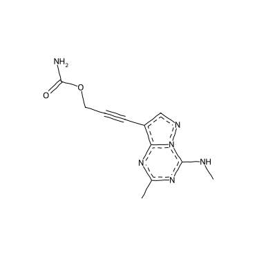 CNc1nc(C)nc2c(C#CCOC(N)=O)cnn12